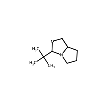 CC(C)(C)C1OCC2CCCN21